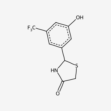 O=C1CSC(c2cc(O)cc(C(F)(F)F)c2)N1